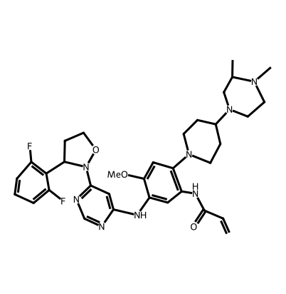 C=CC(=O)Nc1cc(Nc2cc(N3OCCC3c3c(F)cccc3F)ncn2)c(OC)cc1N1CCC(N2CCN(C)C(C)C2)CC1